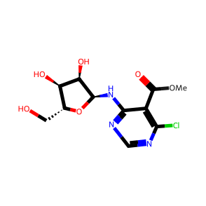 COC(=O)c1c(Cl)ncnc1N[C@H]1O[C@H](CO)[C@@H](O)[C@H]1O